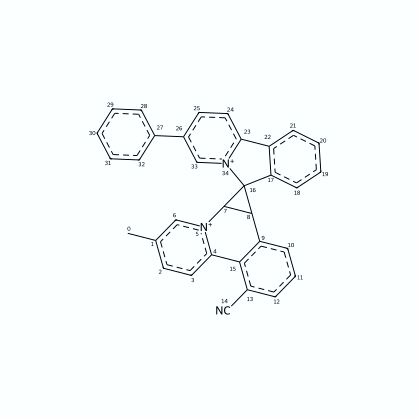 Cc1ccc2[n+](c1)C1C(c3cccc(C#N)c3-2)C12c1ccccc1-c1ccc(-c3ccccc3)c[n+]12